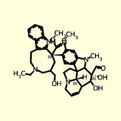 CCN1CCc2c([nH]c3ccccc23)[C@@](C(=O)OC)(c2cc3c(cc2OC)N(C)C2C34CCN3CC=CC(C(O)[C@]2(O)C=O)[C@H]34)CC(CO)C1